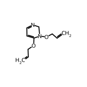 C=CCOC1=CC=NCN1OCC=C